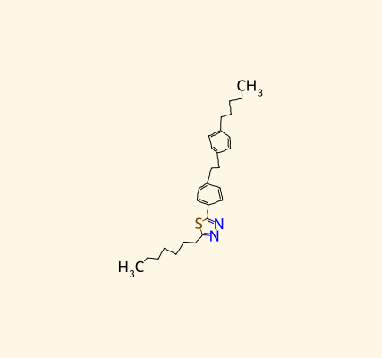 CCCCCCCc1nnc(-c2ccc(CCc3ccc(CCCCC)cc3)cc2)s1